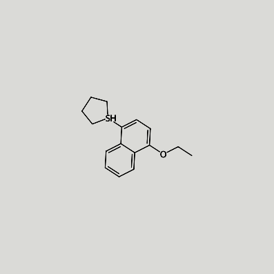 CCOc1ccc([SH]2CCCC2)c2ccccc12